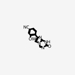 COc1cc(C#N)ccc1-c1cn2cnc(=O)[nH]c2n1